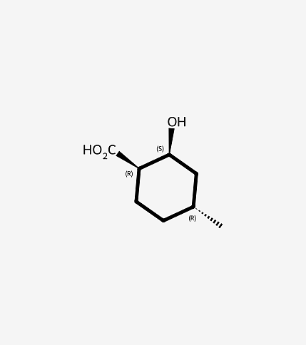 C[C@@H]1CC[C@@H](C(=O)O)[C@@H](O)C1